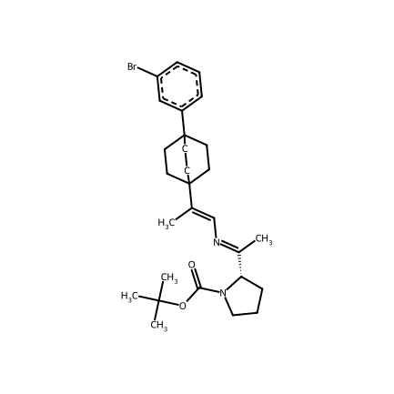 C/C(=C\N=C(/C)[C@@H]1CCCN1C(=O)OC(C)(C)C)C12CCC(c3cccc(Br)c3)(CC1)CC2